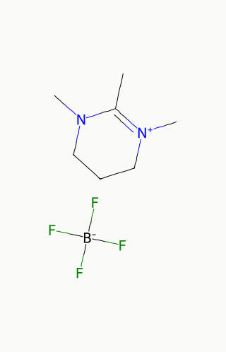 CC1=[N+](C)CCCN1C.F[B-](F)(F)F